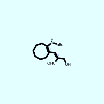 CCCCN/C1=C(\C=C(/C=O)CO)CCCCCC1